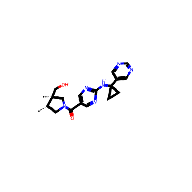 C[C@H]1CN(C(=O)c2cnc(NC3(c4cncnc4)CC3)nc2)C[C@]1(C)CO